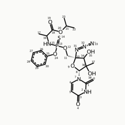 C=C1NC(=O)C=CN1[C@@H]1O[C@@](COP(=S)(NC(C)C(=O)OC(C)C)Oc2ccccc2)(N=[N+]=[N-])C(O)C1(C)O